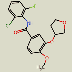 COc1ccc(C(=O)Nc2c(F)cccc2Cl)cc1OC1CCOC1